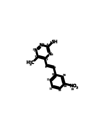 Cc1nnc(S)nc1C=Cc1cccc([N+](=O)[O-])c1